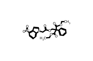 CCOC(=O)C(COC(=O)Cn1ccc2c([N+](=O)[O-])cccc21)(C(=O)OCC)c1ccccc1